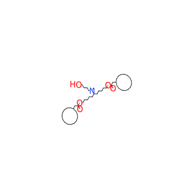 CN(CCCCO)C(CCCCCOC(=O)CC1CCCCCCCCCCCCCC1)CCCCCOC(=O)CC1CCCCCCCCCCCCCC1